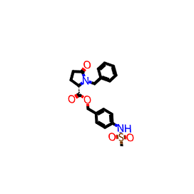 CS(=O)(=O)Nc1ccc(COC(=O)[C@@H]2CCC(=O)N2Cc2ccccc2)cc1